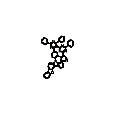 c1ccc(-c2nc(-c3ccccc3)nc(-c3ccc(-n4c5ccccc5c5c6oc7ccccc7c6ccc54)c(-c4ccncc4-c4nc(-c5ccccc5)nc(-c5ccccc5)n4)c3)n2)cc1